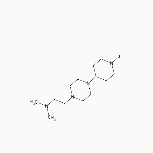 CN(C)CCN1CCN(C2CCN(I)CC2)CC1